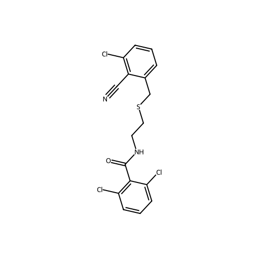 N#Cc1c(Cl)cccc1CSCCNC(=O)c1c(Cl)cccc1Cl